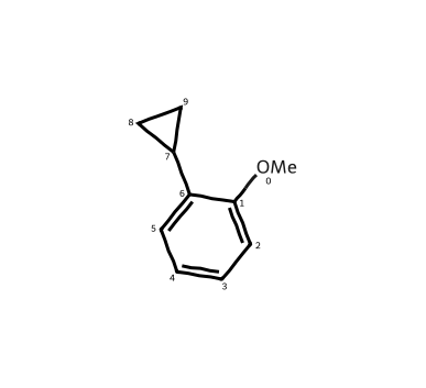 COc1ccccc1C1CC1